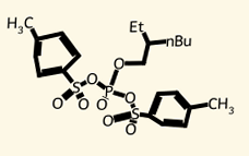 CCCCC(CC)COP(=O)(OS(=O)(=O)c1ccc(C)cc1)OS(=O)(=O)c1ccc(C)cc1